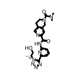 C[C@H](CO)n1nnnc1-c1cccc(NC(=O)c2cc3c(cn2)CCN(C(=O)N(C)C)C3)n1